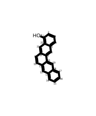 Oc1cccc2cc3c(ccc4cc5ccccc5cc43)cc12